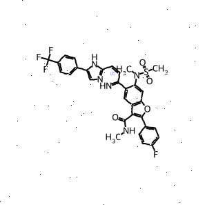 CNC(=O)c1c(-c2ccc(F)cc2)oc2cc(N(C)S(C)(=O)=O)c(C(=N)/C=C\c3ncc(-c4ccc(C(F)(F)F)cc4)[nH]3)cc12